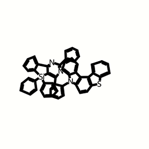 c1ccc(-c2nc(-c3ccccc3-n3c4ccccc4c4c5c(ccc43)sc3ccccc35)c3c(n2)-c2ccccc2[Si]3(c2ccccc2)c2ccccc2)cc1